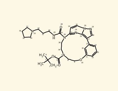 CC(C)(C)OC(=O)N1CCOc2cccc(c2)-c2cnn3ccc(nc23)N(C(=O)NCCCN2CCCC2)CC1